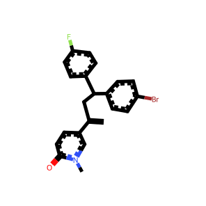 C=C(CC(c1ccc(F)cc1)c1ccc(Br)cc1)c1ccc(=O)n(C)c1